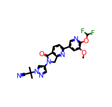 COc1cc(-c2ccc3c(n2)CN(c2cnn(C(C)(C)C#N)c2)C3=O)cnc1OC(F)F